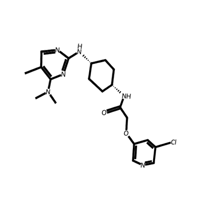 Cc1cnc(N[C@H]2CC[C@@H](NC(=O)COc3cncc(Cl)c3)CC2)nc1N(C)C